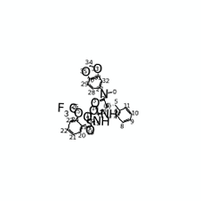 CN(C(=O)[C@H](Cc1ccccc1)NC(=O)NS(=O)(=O)c1ccccc1OC(F)(F)F)c1ccc2c(c1)OCO2